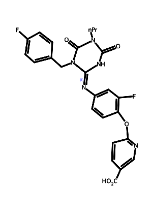 CCCn1c(=O)[nH]/c(=N\c2ccc(Oc3ccc(C(=O)O)cn3)c(F)c2)n(Cc2ccc(F)cc2)c1=O